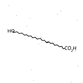 O=C(O)CCCCCCCC=CCCCCCCCCCCCCCCO